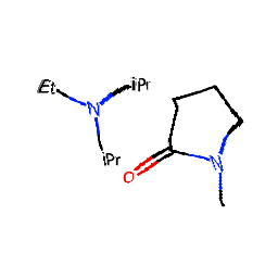 CCN(C(C)C)C(C)C.CN1CCCC1=O